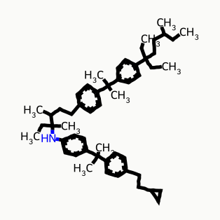 CCC(C)CCC(CC)(CC)c1ccc(C(C)(C)c2ccc(CCC(C)C(C)(CC)Nc3ccc(C(C)(C)c4ccc(CCC5CC5)cc4)cc3)cc2)cc1